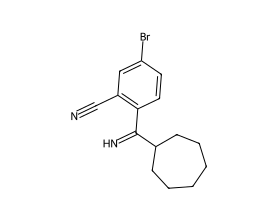 N#Cc1cc(Br)ccc1C(=N)C1CCCCCC1